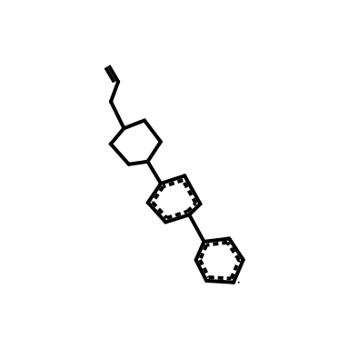 C=CCC1CCC(c2ccc(-c3cc[c]cc3)cc2)CC1